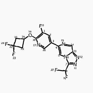 Fc1cc(-c2cn3c(C(F)F)nnc3cn2)cnc1OC1CC(F)(F)C1